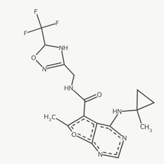 Cc1oc2ncnc(NC3(C)CC3)c2c1C(=O)NCC1=NOC(C(F)(F)F)N1